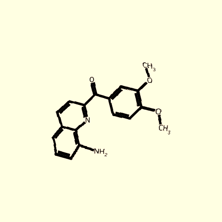 COc1ccc(C(=O)c2ccc3cccc(N)c3n2)cc1OC